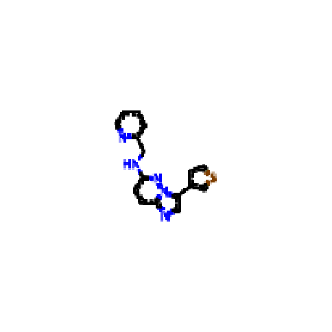 c1ccc(CNc2ccc3ncc(-c4ccsc4)n3n2)nc1